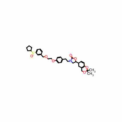 CC1(C)OCC2=C(C=CC(C3CN(CCc4ccc(OCCOCc5cccc([S+]([O-])C6CCCC6)c5)cc4)C(=O)O3)C2)O1